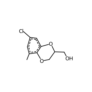 Cc1cc(Cl)cc2c1OCC(CO)O2